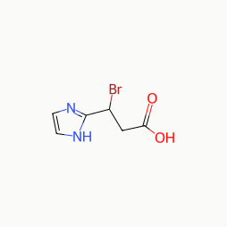 O=C(O)CC(Br)c1ncc[nH]1